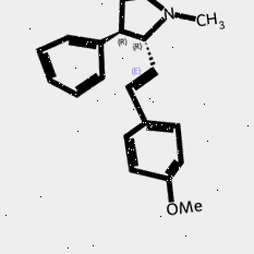 COc1ccc(/C=C/[C@@H]2[C@@H](c3ccccc3)CCN2C)cc1